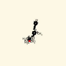 COc1cc(CCNC(=O)C(N)(C(C)(C)C)S(C)(=O)=O)ccc1OCC#Cc1ccc(Cl)cc1